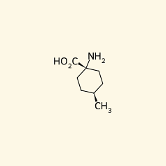 C[C@H]1CC[C@@](N)(C(=O)O)CC1